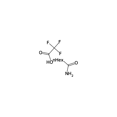 CCCCCCC(N)=O.O=C(O)C(F)(F)F